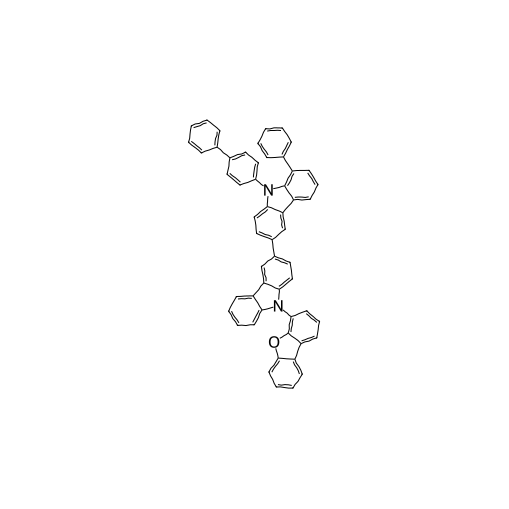 c1ccc(-c2ccc(-n3c4ccc(-c5ccc6c(c5)c5ccccc5n6-c5cccc6c5oc5ccccc56)cc4c4cccc(-c5ccccc5)c43)cc2)cc1